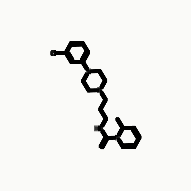 C=C(NCCCN1CCN(c2cccc(Cl)c2)CC1)N1C=CC=CC1C